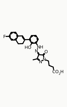 CC1=NN(CCCC(=O)O)C(=O)/C1=N\Nc1cccc(C2=Cc3ccc(F)cc3CC2)c1O